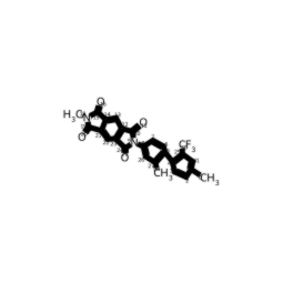 Cc1ccc(-c2ccc(-n3c(=O)c4cc5c(=O)n(C)c(=O)c5cc4c3=O)cc2C)c(C(F)(F)F)c1